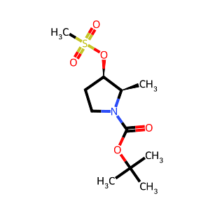 C[C@@H]1[C@H](OS(C)(=O)=O)CCN1C(=O)OC(C)(C)C